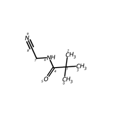 CC(C)(C)C(=O)NCC#N